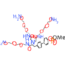 COP(C)(=O)Oc1ccc(-c2ccc(CC(C(=O)NCCOCCOCCON)N(CC(=O)NCCOCCOCCON)CC(=O)NCCOCCOCCON)cc2)cc1